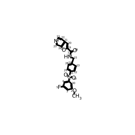 COc1cc(F)cc(S(=O)(=O)c2ccc(CNC(=O)c3cc4ccncc4o3)cc2)c1